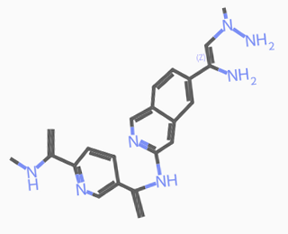 C=C(Nc1cc2cc(/C(N)=C/N(C)N)ccc2cn1)c1ccc(C(=C)NC)nc1